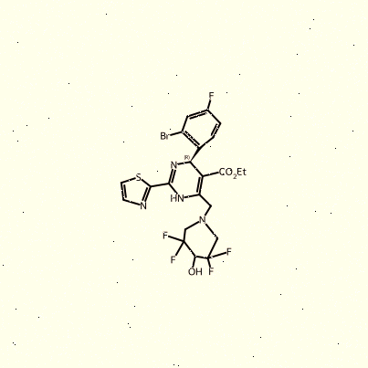 CCOC(=O)C1=C(CN2CC(F)(F)C(O)C(F)(F)C2)NC(c2nccs2)=N[C@H]1c1ccc(F)cc1Br